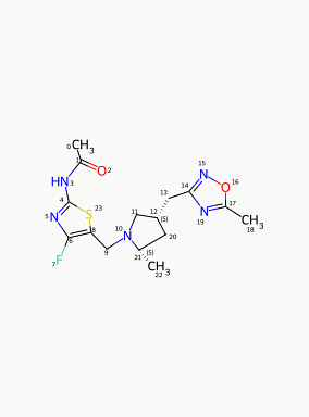 CC(=O)Nc1nc(F)c(CN2C[C@H](Cc3noc(C)n3)C[C@@H]2C)s1